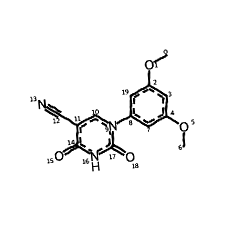 COc1cc(OC)cc(-n2cc(C#N)c(=O)[nH]c2=O)c1